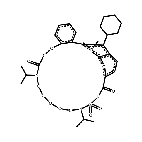 CC(C)N1CCOCCN(C(C)C)S(=O)(=O)NC(=O)c2ccc3c(C4CCCCC4)c(n(C)c3c2)-c2ccccc2OCC1=O